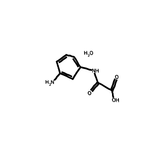 Nc1cccc(NC(=O)C(=O)O)c1.O